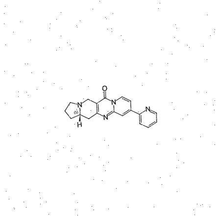 O=c1c2c(nc3cc(-c4ccccn4)ccn13)C[C@@H]1CCCN1C2